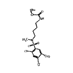 CN(CCCCNC(=O)OC(C)(C)C)S(=O)(=O)c1cc(C=O)c(Cl)cc1Cl